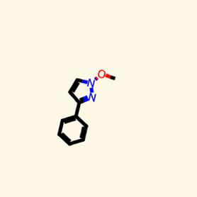 COn1ccc(-c2ccccc2)n1